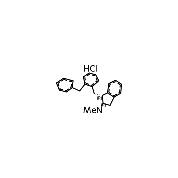 CN[C@@H]1Cc2ccccc2[C@H]1Cc1ccccc1Cc1ccccc1.Cl